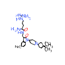 CC(C)=C1CCC(N2CCC(N3C(=O)C(CCNC(=O)C(N)CCCNC(=N)N)c4cc(C#N)ccc43)CC2)CC1